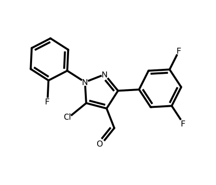 O=Cc1c(-c2cc(F)cc(F)c2)nn(-c2ccccc2F)c1Cl